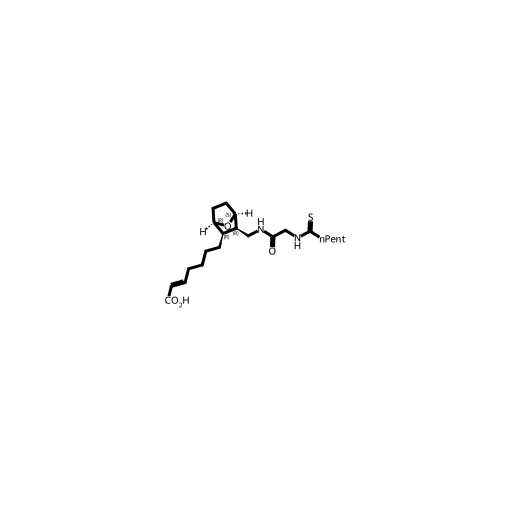 CCCCCC(=S)NCC(=O)NC[C@H]1[C@@H](CCCCC=CC(=O)O)[C@H]2CC[C@@H]1O2